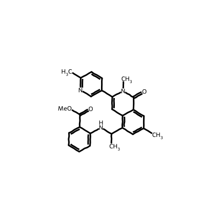 COC(=O)c1ccccc1NC(C)c1cc(C)cc2c(=O)n(C)c(-c3ccc(C)nc3)cc12